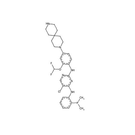 CP(C)c1ccccc1Nc1nc(Nc2ccc(N3CCC4(CCNCC4)CC3)cc2OC(F)F)ncc1Cl